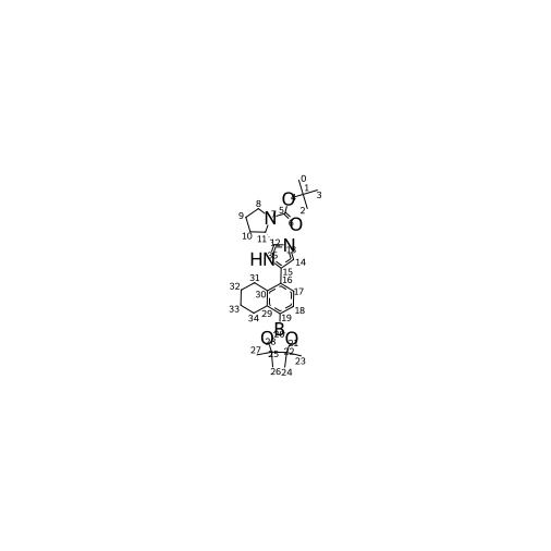 CC(C)(C)OC(=O)N1CCC[C@H]1c1ncc(-c2ccc(B3OC(C)(C)C(C)(C)O3)c3c2CCCC3)[nH]1